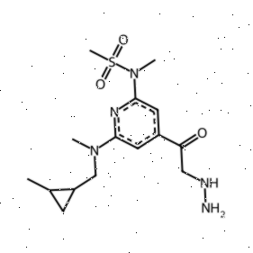 CC1CC1CN(C)c1cc(C(=O)CNN)cc(N(C)S(C)(=O)=O)n1